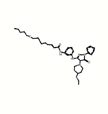 CCCCCCCCCCCCCC(=O)Nc1cccc(NC2=NN(c3ccccc3)C(=O)C2N2CCC(CCC)CC2)c1